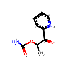 CC(OC(N)=O)C(=O)c1ccccn1